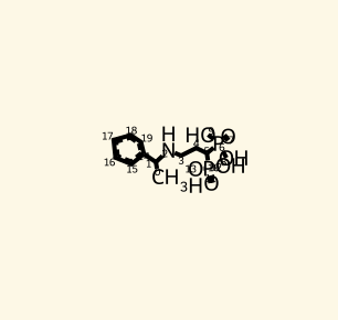 CC(NCCC(P(=O)(O)O)P(=O)(O)O)c1ccccc1